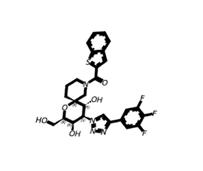 O=C(c1cc2ccccc2s1)N1CCC[C@]2(C1)O[C@H](CO)[C@H](O)[C@H](n1cc(-c3cc(F)c(F)c(F)c3)nn1)[C@H]2O